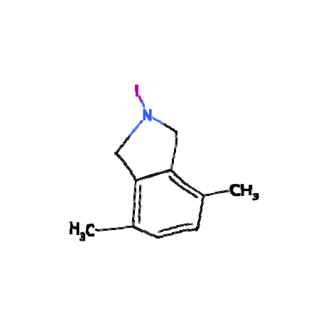 Cc1ccc(C)c2c1CN(I)C2